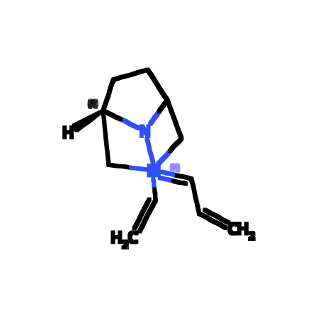 C=C/C=N/N1C2CC[C@H]1CN(C=C)C2